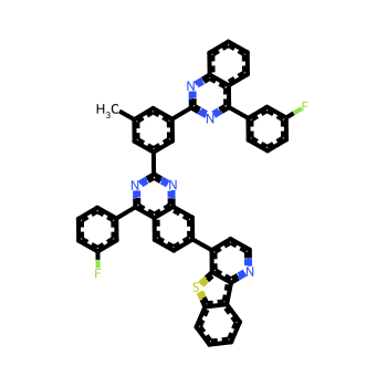 Cc1cc(-c2nc(-c3cccc(F)c3)c3ccccc3n2)cc(-c2nc(-c3cccc(F)c3)c3ccc(-c4ccnc5c4sc4ccccc45)cc3n2)c1